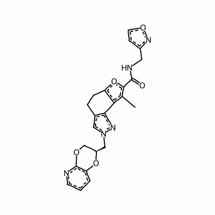 Cc1c(C(=O)NCc2ccon2)oc2c1-c1nn(C[C@@H]3COc4ncccc4O3)cc1CC2